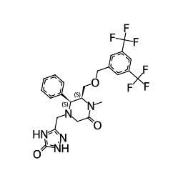 CN1C(=O)CN(Cc2n[nH]c(=O)[nH]2)[C@@H](c2ccccc2)[C@H]1COCc1cc(C(F)(F)F)cc(C(F)(F)F)c1